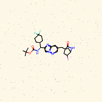 CC(C)(C)OC(=O)N[C@H](c1cn2ncc(CC34CC(I)C(C3)NC4=O)cc2n1)C1CCC(F)(F)CC1